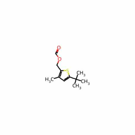 Cc1cc(C(C)(C)C)sc1COC=O